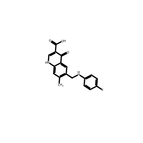 Cc1cc2[nH]cc(C(=O)O)c(=O)c2cc1CNc1ccc(F)cc1